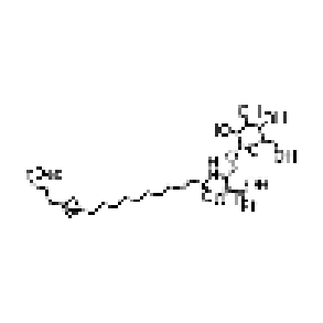 CCCCCCCCCCCCCC12CC(CCCCCCCCCCC(=O)N[C@@H](COC3OC(CO)C(O)C(O)C3O)[C@H](O)[C@H](O)CC)(C1)C2